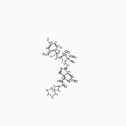 C#CC(CO)(OC)[C@@H](CC(=O)CC(C)(C)c1c(C)cc(C)cc1OC(C)=O)Cn1cnc2c(NC(=O)C3CC4(CCCCC4)C3)nc(Cl)nc21